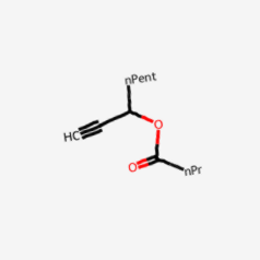 C#CC(CCCCC)OC(=O)CCC